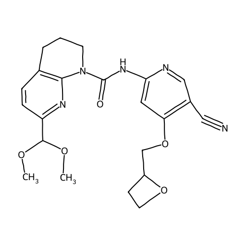 COC(OC)c1ccc2c(n1)N(C(=O)Nc1cc(OCC3CCO3)c(C#N)cn1)CCC2